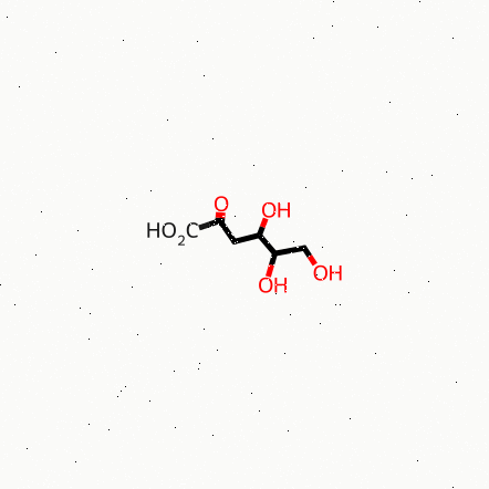 O=C(O)C(=O)CC(O)C(O)CO